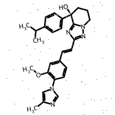 COc1cc(/C=C/c2nc3n(n2)CCC[C@@]3(O)c2ccc(C(C)C)cc2)ccc1-n1cnc(C)c1